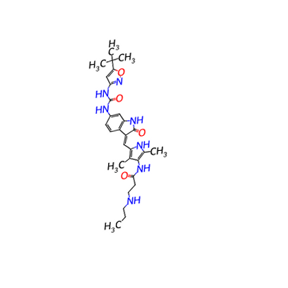 CCCNCCC(=O)Nc1c(C)[nH]c(/C=C2\C(=O)Nc3cc(NC(=O)Nc4cc(C(C)(C)C)on4)ccc32)c1C